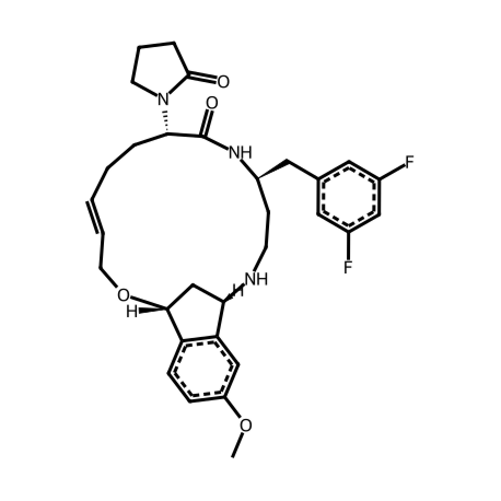 COc1ccc2c(c1)[C@@H]1C[C@H]2OC/C=C/CC[C@H](N2CCCC2=O)C(=O)N[C@@H](Cc2cc(F)cc(F)c2)CCN1